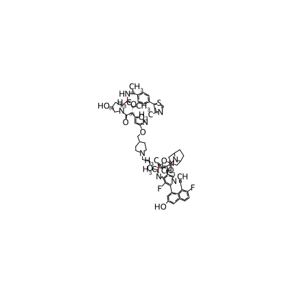 C#Cc1c(F)ccc2cc(O)cc(-c3ncc4c(N5CC6CCC(C5)N6C(=O)OC(C)(C)C)nc(OCCN5CCC(COc6cc([C@H](C(=O)N7C[C@H](O)C[C@H]7C(=O)N[C@@H](C)c7ccc(-c8scnc8C)cc7)C(C)C)on6)CC5)nc4c3F)c12